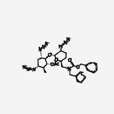 CC(=O)O[C@@H]1[C@@H](C)[C@H](N=[N+]=[N-])C[C@H](N=[N+]=[N-])[C@H]1O[C@H]1O[C@H](CN(Cc2ccccc2)C(=O)OCc2ccccc2)CCC1N=[N+]=[N-]